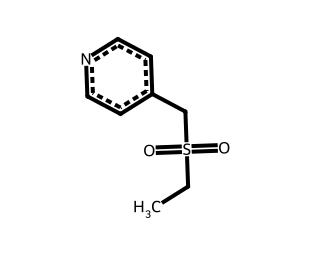 CCS(=O)(=O)Cc1ccncc1